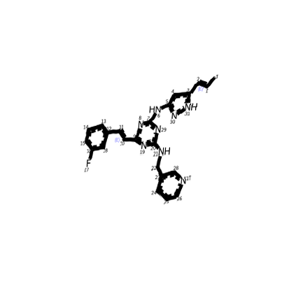 C/C=C/c1cc(Nc2nc(/C=C/c3cccc(F)c3)nc(NCc3cccnc3)n2)n[nH]1